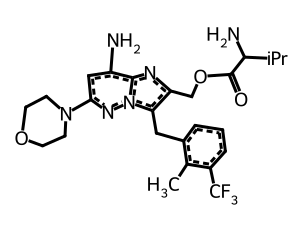 Cc1c(Cc2c(COC(=O)C(N)C(C)C)nc3c(N)cc(N4CCOCC4)nn23)cccc1C(F)(F)F